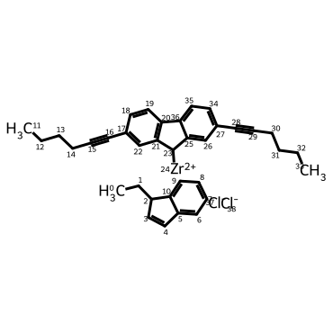 CCC1C=Cc2ccccc21.CCCCC#Cc1ccc2c(c1)[CH]([Zr+2])c1cc(C#CCCCC)ccc1-2.[Cl-].[Cl-]